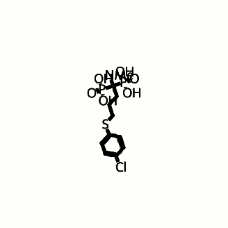 CNC(CCCSc1ccc(Cl)cc1)(P(=O)(O)O)P(=O)(O)O